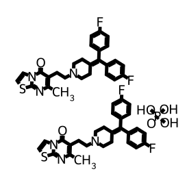 Cc1nc2sccn2c(=O)c1CCN1CCC(=C(c2ccc(F)cc2)c2ccc(F)cc2)CC1.Cc1nc2sccn2c(=O)c1CCN1CCC(=C(c2ccc(F)cc2)c2ccc(F)cc2)CC1.O=P(O)(O)O